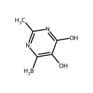 Bc1nc(C)nc(O)c1O